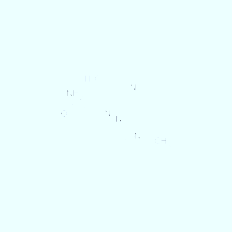 Cc1cccc(-c2cc3cc(C(N)=O)cc(-c4cnccc4C)n3n2)n1